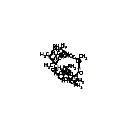 C=C1CC2/C=C/C(=O)C[C@H]3O[C@H]4[C@@H](OP(P)P)[C@H]5O[C@H](CC[C@@H]5O[C@H]4[C@H]3OP(P)P)CC(=O)CC3C(C[C@H]4O[C@@H](CCC1O2)C[C@@H](C)C4=C)O[C@H](C[C@H](C)CCPP)[C@@H]3C